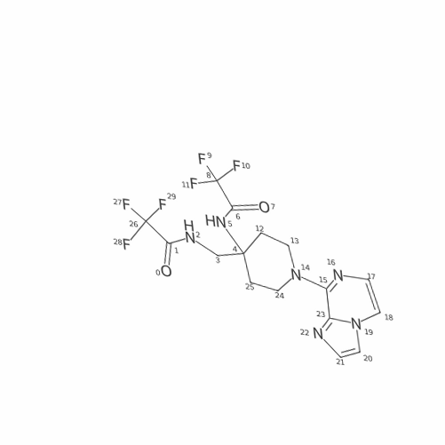 O=C(NCC1(NC(=O)C(F)(F)F)CCN(c2nccn3ccnc23)CC1)C(F)(F)F